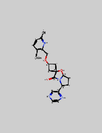 COc1ccc(C#N)nc1COC1CC2(C1)OC1CC[C@@H](c3cnccn3)N1C2=O